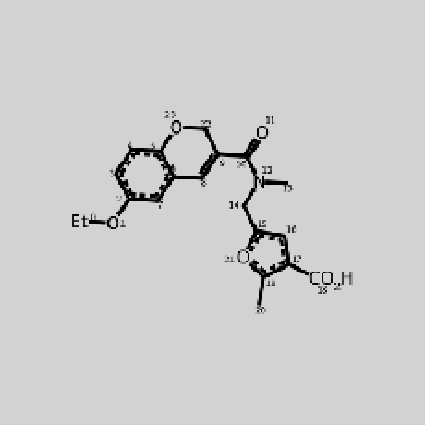 CCOc1ccc2c(c1)C=C(C(=O)N(C)Cc1cc(C(=O)O)c(C)o1)CO2